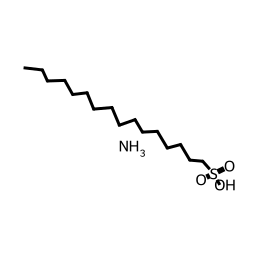 CCCCCCCCCCCCCCCCS(=O)(=O)O.N